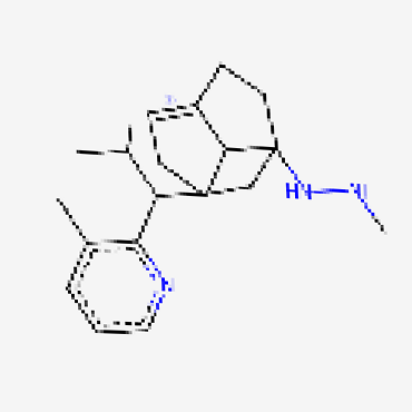 CNNCC(CC(c1ncccc1C)C(C)C)/C1=C\CCCCCC1